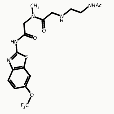 CC(=O)NCCNCC(=O)N(C)CC(=O)Nc1nc2ccc(OC(F)(F)F)cc2s1